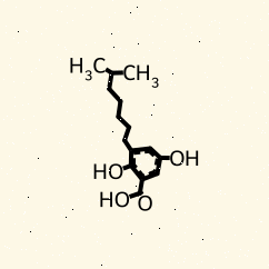 CC(C)CCCCCc1cc(O)cc(C(=O)O)c1O